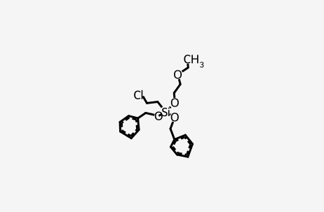 CCOCCO[Si](CCCl)(OCc1ccccc1)OCc1ccccc1